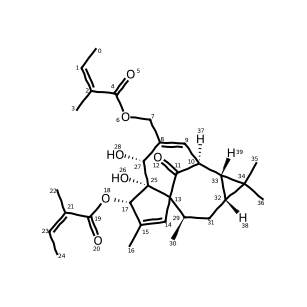 C/C=C(/C)C(=O)OCC1=C[C@@H]2C(=O)C3(C=C(C)[C@H](OC(=O)/C(C)=C\C)[C@@]3(O)[C@@H]1O)[C@H](C)C[C@@H]1[C@H]2C1(C)C